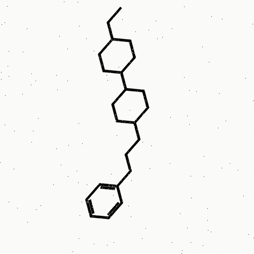 CCC1CCC(C2CCC(CCCc3ccccc3)CC2)CC1